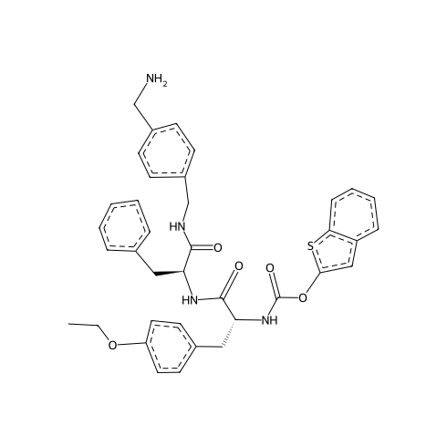 CCOc1ccc(C[C@@H](NC(=O)Oc2cc3ccccc3s2)C(=O)N[C@@H](Cc2ccccc2)C(=O)NCc2ccc(CN)cc2)cc1